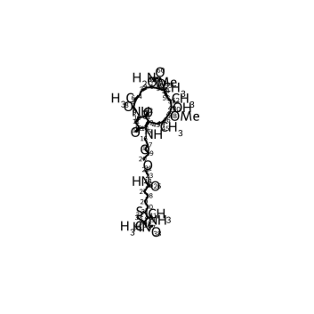 CO[C@H]1/C=C\C=C(/C)C(=O)NC2=CC(=O)C(NCCOCCOCCNC(=O)CCCCC3SCC4(C)NC(=O)NC34C)=C(C[C@@H](C)C[C@H](OC)[C@H](O)[C@@H](C)/C=C(\C)[C@@H]1OC(N)=O)C2=O